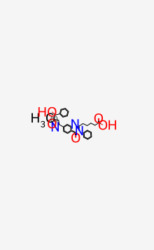 C[C@@]1(C(O)c2ccccc2)CC(c2ccc3c(=O)n(-c4ccccc4)c(CCCCC(=O)O)nc3c2)=NO1